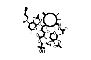 C#CCCN(C)[C@H]1C[C@@H](C)O[C@@H](O[C@H]([C@@H](C)[C@H](O[C@H]2C[C@@](C)(OC)[C@@H](OC(C)=O)[C@H](C)O2)[C@@H](C)C(=O)O[C@H](CC)C(C)(C)O)[C@]2(C)CCC(=C)CC[C@@H](C)[C@@H](C)/C(=N/OC(C)=O)[C@H](C)C2)[C@@H]1OC(C)=O